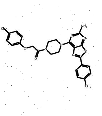 Cc1ccc(-c2nc3c(N4CCN(C(=O)COc5ccc(Cl)cc5)CC4)nc(N)nc3s2)cc1